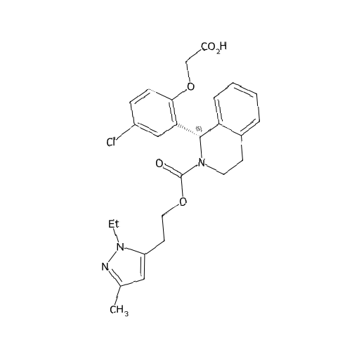 CCn1nc(C)cc1CCOC(=O)N1CCc2ccccc2[C@H]1c1cc(Cl)ccc1OCC(=O)O